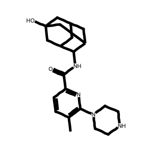 Cc1ccc(C(=O)NC2C3CC4CC2CC(O)(C4)C3)nc1N1CCNCC1